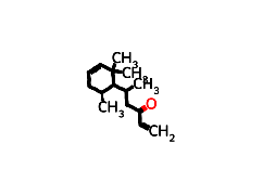 C=CC(=O)CC(C)C1[C@@H](C)CC=CC1(C)C